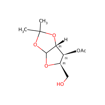 CC(=O)O[C@H]1[C@@H](CO)OC2OC(C)(C)O[C@@H]21